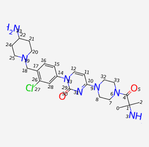 CC(C)(N)C(=O)N1CCN(c2ccn(-c3ccc(CN4CCC(N)CC4)c(Cl)c3)c(=O)n2)CC1